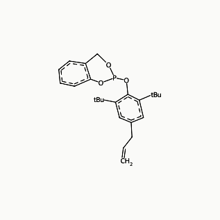 C=CCc1cc(C(C)(C)C)c(OP2OCc3ccccc3O2)c(C(C)(C)C)c1